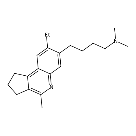 CCc1cc2c3c(c(C)nc2cc1CCCCN(C)C)CCC3